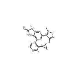 Cc1noc(C)c1-c1cc(-c2ccncc2C2CC2)c2[nH]c(=O)[nH]c2c1